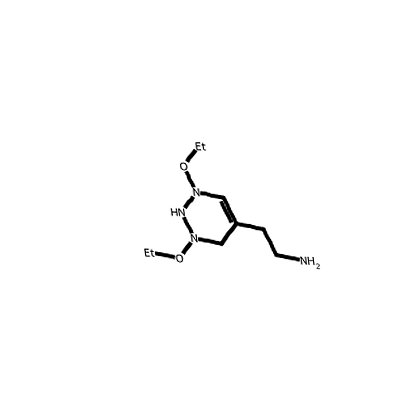 CCON1C=C(CCN)CN(OCC)N1